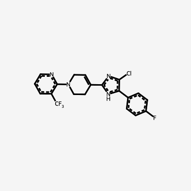 Fc1ccc(-c2[nH]c(C3=CCN(c4ncccc4C(F)(F)F)CC3)nc2Cl)cc1